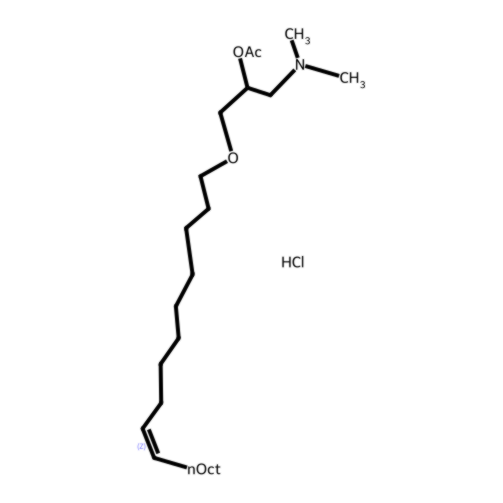 CCCCCCCC/C=C\CCCCCCCCOCC(CN(C)C)OC(C)=O.Cl